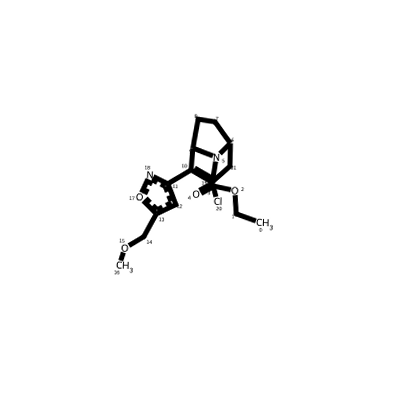 CCOC(=O)N1C2CCC1C(c1cc(COC)on1)=C(Cl)C2